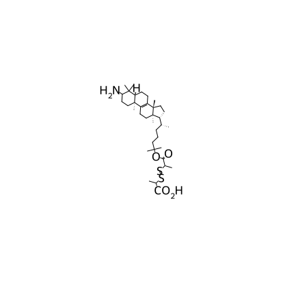 CC(SSC(C)C(=O)OC(C)(C)CCC[C@@H](C)[C@H]1CC[C@@]2(C)C3=C(CC[C@]12C)[C@@]1(C)CCC(N)C(C)(C)[C@@H]1CC3)C(=O)O